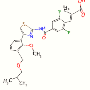 COc1c(COCC(C)C)cccc1-c1csc(NC(=O)c2cc(F)c(C=C(C)C(=O)O)c(F)c2)n1